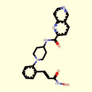 O=C(C=Cc1ccccc1N1CCC(NC(=O)c2ccc3cnccc3n2)CC1)NO